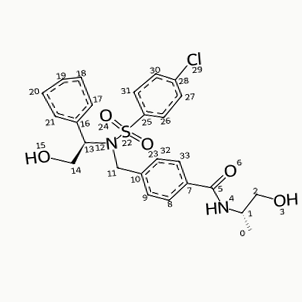 C[C@@H](CO)NC(=O)c1ccc(CN([C@@H](CO)c2ccccc2)S(=O)(=O)c2ccc(Cl)cc2)cc1